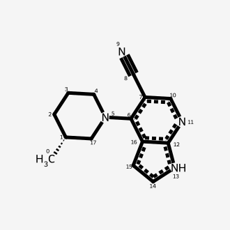 C[C@@H]1CCCN(c2c(C#N)cnc3[nH]ccc23)C1